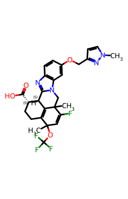 Cn1ccc(COc2ccc3nc4n(c3c2)CC2(C)C(F)=CC(C)(OC(F)(F)F)C3=C2[C@@H]4[C@@H](C(=O)O)CC3)n1